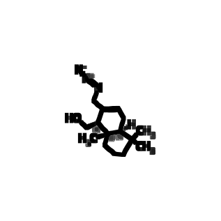 CC1(C)CCC[C@]2(C)[C@@H](CO)C(CN=[N+]=[N-])=CC[C@@H]12